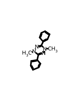 CN1N=C(c2ccccc2)N(C)N=C1c1ccccc1